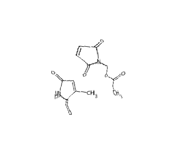 CC(=O)OCN1C(=O)C=CC1=O.CC1=CC(=O)NC1=O